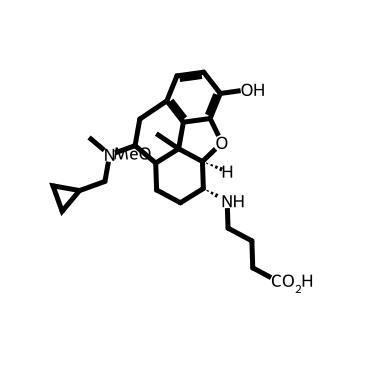 CO[C@@]12CC[C@@H](NCCCC(=O)O)[C@@H]3Oc4c(O)ccc(c4C31C)CC2N(C)CC1CC1